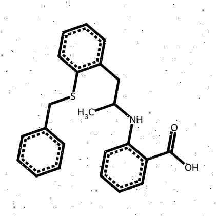 CC(Cc1ccccc1SCc1ccccc1)Nc1ccccc1C(=O)O